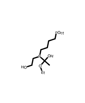 CCCCCCCCCCCCN(CCO)C(C)(O)OCC